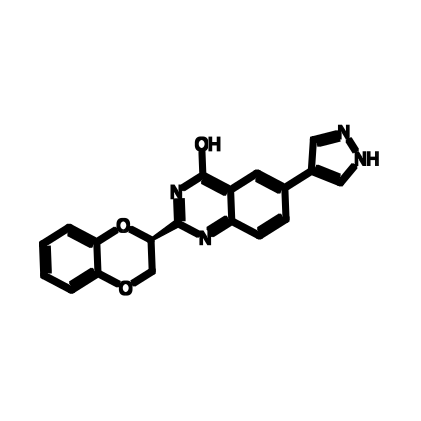 Oc1nc([C@H]2COc3ccccc3O2)nc2ccc(-c3cn[nH]c3)cc12